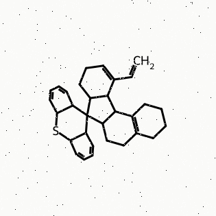 C=CC1=CCCC2C1C1C3=C(CCCC3)CCC1C21C2C=CC=CC2SC2C=CC=CC21